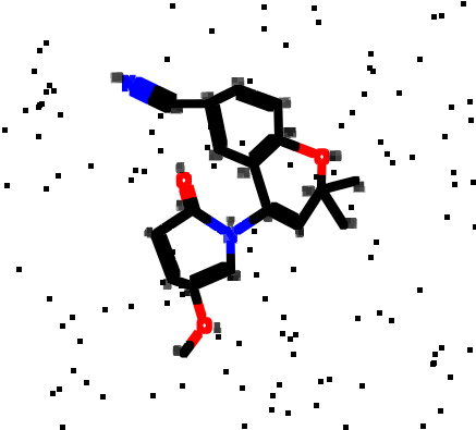 COc1ccc(=O)n(C2=CC(C)(C)Oc3ccc(C#N)cc32)c1